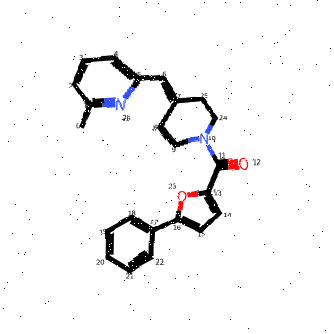 Cc1cccc(C=C2CCN(C(=O)c3ccc(-c4ccccc4)o3)CC2)n1